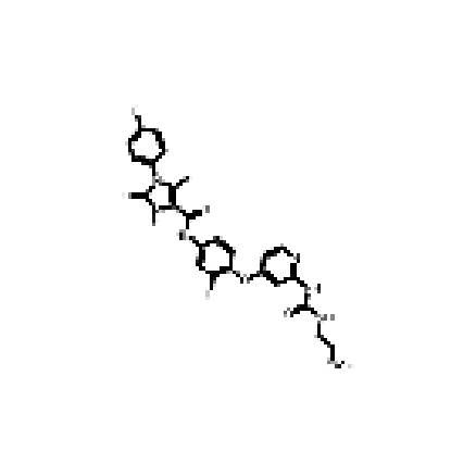 COCCNC(=O)Nc1cc(Oc2ccc(NC(=O)c3[nH]c(=O)n(-c4ccc(F)cc4)c3C)cc2F)ccn1